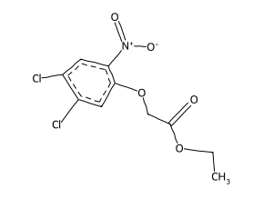 CCOC(=O)COc1cc(Cl)c(Cl)cc1[N+](=O)[O-]